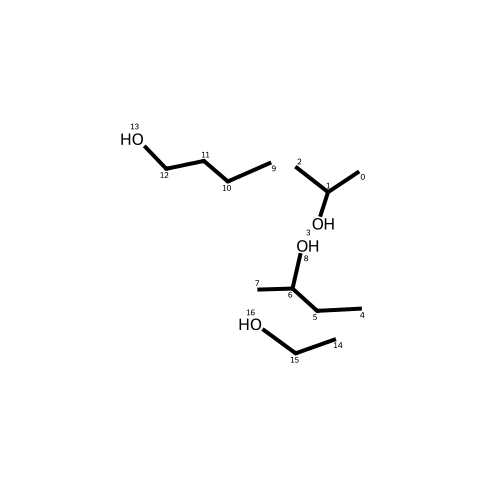 CC(C)O.CCC(C)O.CCCCO.CCO